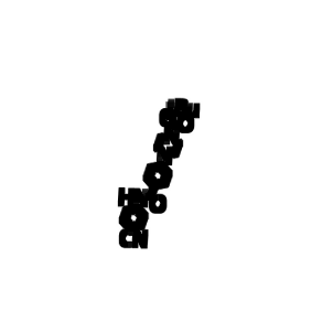 CC(C)(C)OC(=O)N1CCN(c2ccc(C(=O)Nc3ccc(C#N)cc3)cc2)CC1